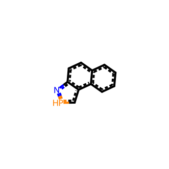 c1ccc2c(c1)ccc1n[pH]cc12